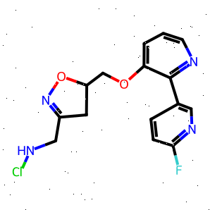 Fc1ccc(-c2ncccc2OCC2CC(CNCl)=NO2)cn1